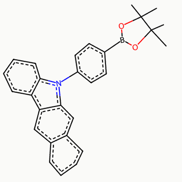 CC1(C)OB(c2ccc(-n3c4ccccc4c4cc5ccccc5cc43)cc2)OC1(C)C